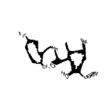 Cc1c(Br)cc(C(C)(C)C)c(O)c1C(=O)Nc1cc(C(F)(F)F)ccc1C(F)(F)F